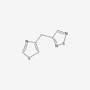 [CH](c1cscn1)c1cnsn1